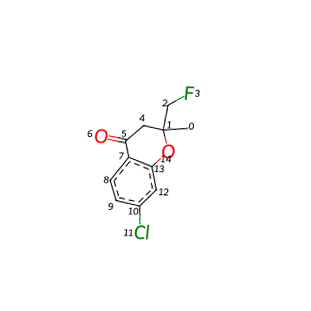 CC1(CF)CC(=O)c2ccc(Cl)cc2O1